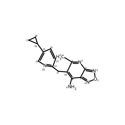 Cc1nc2nonc2c(N)c1Cc1ccc(C2CC2)cn1